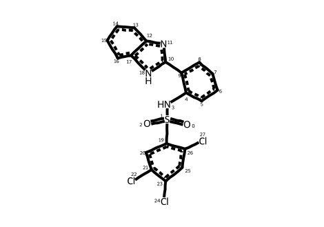 O=S(=O)(Nc1ccccc1-c1nc2ccccc2[nH]1)c1cc(Cl)c(Cl)cc1Cl